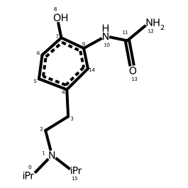 CC(C)N(CCc1ccc(O)c(NC(N)=O)c1)C(C)C